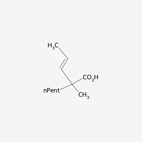 CC=CC(C)(CCCCC)C(=O)O